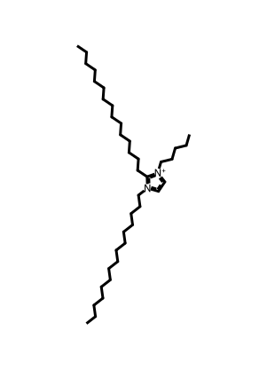 CCCCCCCCCCCCCCCc1n(CCCCCCCCCCCCCCC)cc[n+]1CCCCC